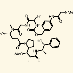 CCC[C@@H](CCC(=O)N1CCC[C@H]1[C@H](OC)[C@@H](C)C(=O)N[C@H](C)[C@@H](O)c1ccccc1)N(C)C(=O)CNC(=O)C(C(C)C)N(C)C(=O)OCc1ccc(NC(=O)CNC)cc1